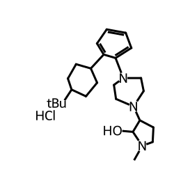 CN1CCC(N2CCN(c3ccccc3C3CCC(C(C)(C)C)CC3)CC2)C1O.Cl